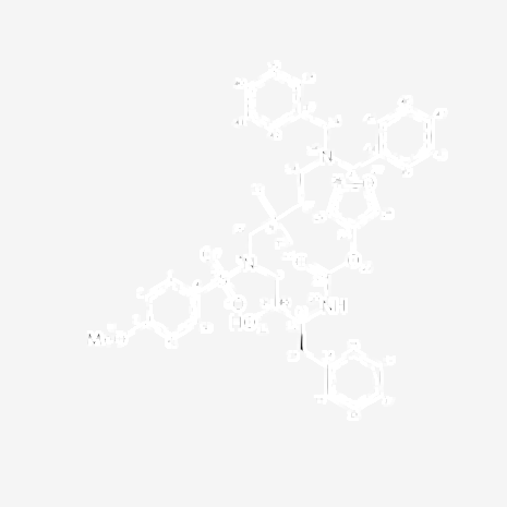 COc1ccc(S(=O)(=O)N(C[C@@H](O)[C@H](Cc2ccccc2)NC(=O)Oc2ccoc2)CC(C)(C)CCN(Cc2ccccc2)Cc2ccccc2)cc1